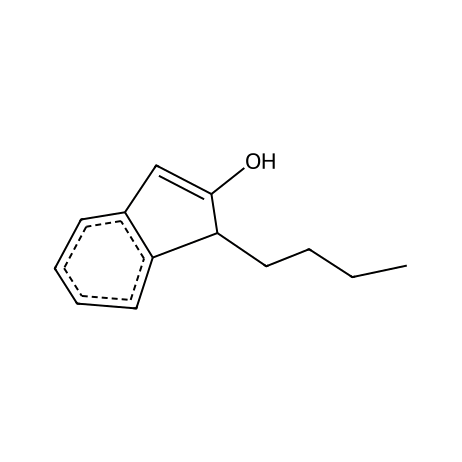 CCCCC1C(O)=Cc2ccccc21